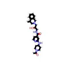 CC(=O)N1CCC(Nc2cc(C(=O)NCC(O)CN3Cc4ccccc4C(C)C3)ccn2)CC1